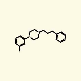 Cc1cccc(N2CCN(CCCc3ccccc3)CC2)c1